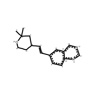 CC1(C)CC(C=Cc2ccc3ncncc3c2)CCO1